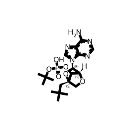 CC(C)(C)C[C@]12CO[C@@H](C1OP(=O)(O)OC(C)(C)C)[C@H](n1cnc3c(N)ncnc31)O2